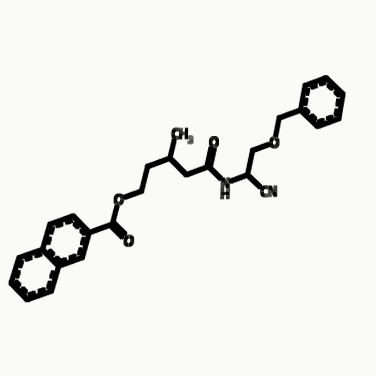 CC(CCOC(=O)c1ccc2ccccc2c1)CC(=O)NC(C#N)COCc1ccccc1